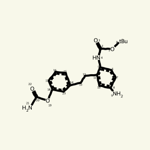 CC(C)(C)OC(=O)Nc1ccc(N)cc1CCc1cccc(OC(N)=O)c1